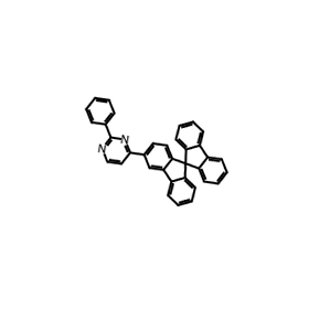 c1ccc(-c2nccc(-c3ccc4c(c3)-c3ccccc3C43c4ccccc4-c4ccccc43)n2)cc1